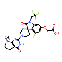 CN1CCCc2c1nc(N1CCC3(CC1)C(=O)N(CC(F)(F)F)c1cc(OCC(=O)O)cc(F)c13)[nH]c2=O